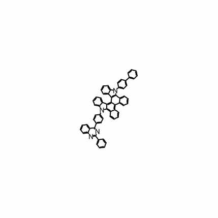 c1ccc(-c2ccc(-n3c4ccccc4c4c5c(c6ccccc6c43)c3ccccc3c3c5c4ccccc4n3-c3ccc(-c4nc(-c5ccccc5)nc5ccccc45)cc3)cc2)cc1